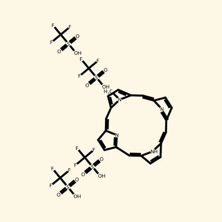 Cn1c2ccc1cc1nc(cc3ccc(cc4nc(c2)C=C4)[nH]3)C=C1.O=S(=O)(O)C(F)(F)F.O=S(=O)(O)C(F)(F)F.O=S(=O)(O)C(F)(F)F.O=S(=O)(O)C(F)(F)F